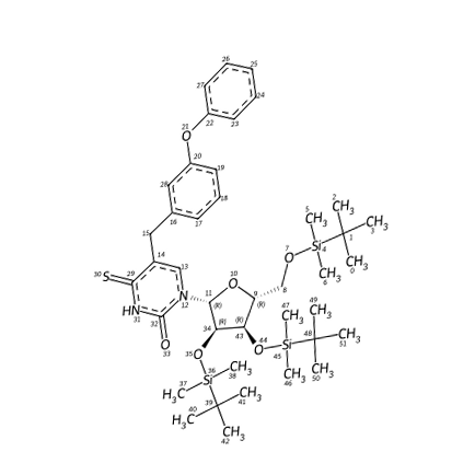 CC(C)(C)[Si](C)(C)OC[C@H]1O[C@@H](n2cc(Cc3cccc(Oc4ccccc4)c3)c(=S)[nH]c2=O)[C@H](O[Si](C)(C)C(C)(C)C)[C@@H]1O[Si](C)(C)C(C)(C)C